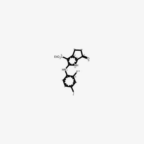 CCOC(=O)c1c(Nc2ccc(I)cc2F)[nH]c2c1CCC2=O